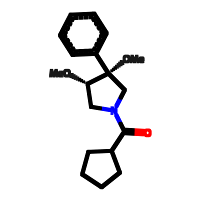 CO[C@H]1CN(C(=O)C2CCCC2)C[C@]1(OC)c1ccccc1